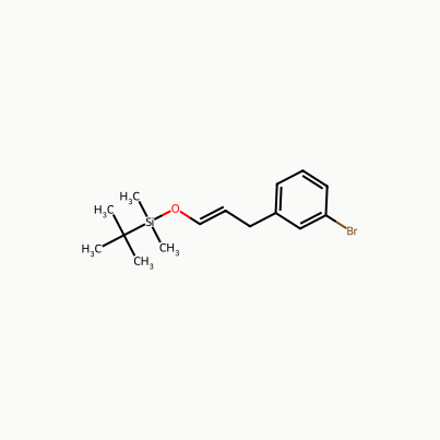 CC(C)(C)[Si](C)(C)OC=CCc1cccc(Br)c1